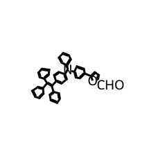 O=Cc1ccc(-c2ccc(N(c3ccccc3)c3ccc(C(=C(c4ccccc4)c4ccccc4)c4ccccc4)cc3)cc2)o1